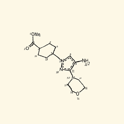 COC(=O)C1CCC(n2cc(N)c(N3CCOCC3)n2)CC1